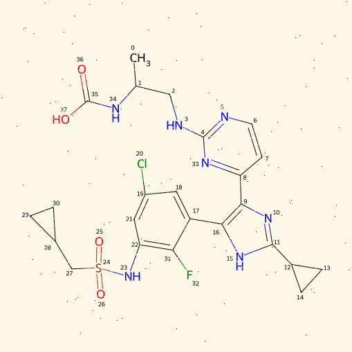 CC(CNc1nccc(-c2nc(C3CC3)[nH]c2-c2cc(Cl)cc(NS(=O)(=O)CC3CC3)c2F)n1)NC(=O)O